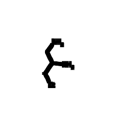 CC[CH]C(N)CN